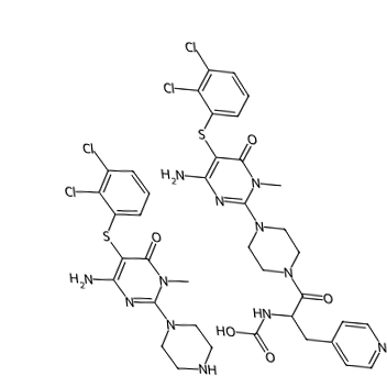 Cn1c(N2CCN(C(=O)C(Cc3ccncc3)NC(=O)O)CC2)nc(N)c(Sc2cccc(Cl)c2Cl)c1=O.Cn1c(N2CCNCC2)nc(N)c(Sc2cccc(Cl)c2Cl)c1=O